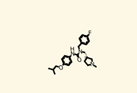 CC(C)COc1ccc(NC(=O)N(Cc2ccc(F)cc2)C[C@H]2CCN(C)C2)cc1